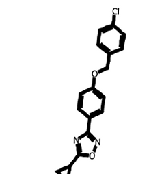 Clc1ccc(COc2ccc(-c3noc(C4CC4)n3)cc2)cc1